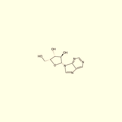 OC[C@H]1O[C@@H](n2cnc3cncnc32)[C@H](O)[C@H]1O